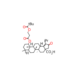 CC(C)C1=C2[C@H]3CC[C@@H]4[C@@]5(C)C(OC(=O)CCOC(=O)C(C)(C)C)CCC(C)(C)[C@@H]5CC[C@@]4(C)[C@]3(C)CC[C@@]2(C(=O)O)CC1=O